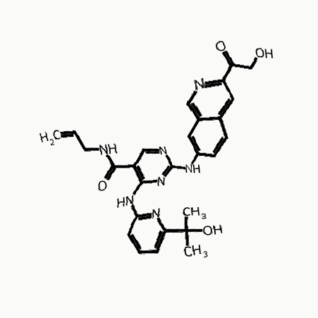 C=CCNC(=O)c1cnc(Nc2ccc3cc(C(=O)CO)ncc3c2)nc1Nc1cccc(C(C)(C)O)n1